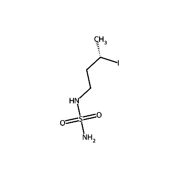 C[C@H](I)CCNS(N)(=O)=O